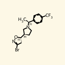 C[C@@H](c1ccc(C(F)(F)F)cc1)N1CC[C@@H]([C@@H]2CC(Br)=NO2)C1